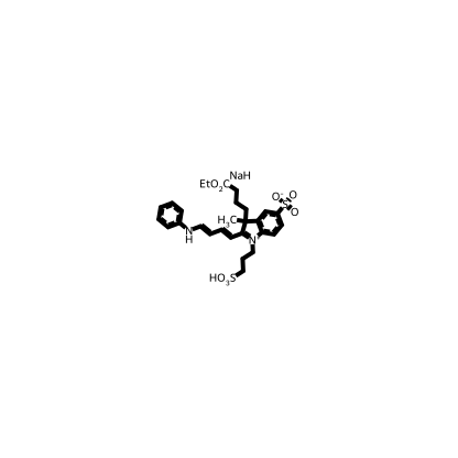 CCOC(=O)CCCC1(C)C(C=CC=CNc2ccccc2)=[N+](CCCS(=O)(=O)O)c2ccc(S(=O)(=O)[O-])cc21.[NaH]